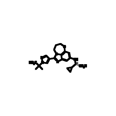 CC(C)(C(=O)O)n1cc(-c2nc3cc(N[C@H](C(=O)O)C4CC4)cc4c3n2CCCO4)cn1